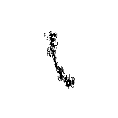 O=C(NCc1ccc2c(c1)OCO2)c1cn(CCCCn2cc(C(=O)NCc3cncc(C(F)(F)F)c3)[nH]2)nn1